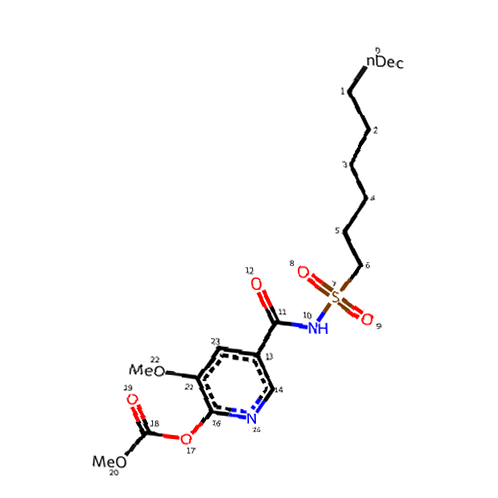 CCCCCCCCCCCCCCCCS(=O)(=O)NC(=O)c1cnc(OC(=O)OC)c(OC)c1